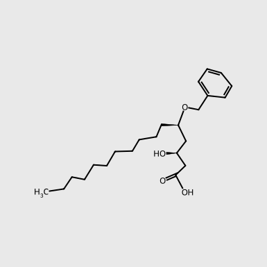 CCCCCCCCCCC[C@H](C[C@H](O)CC(=O)O)OCc1ccccc1